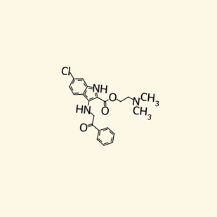 CN(C)CCOC(=O)c1[nH]c2cc(Cl)ccc2c1NCC(=O)c1ccccc1